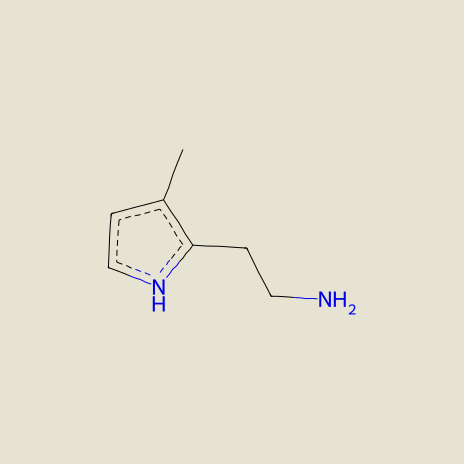 Cc1cc[nH]c1CCN